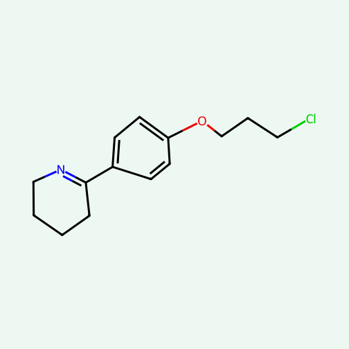 ClCCCOc1ccc(C2=NCCCC2)cc1